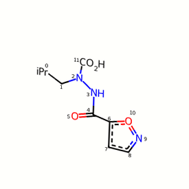 CC(C)CN(NC(=O)c1ccno1)C(=O)O